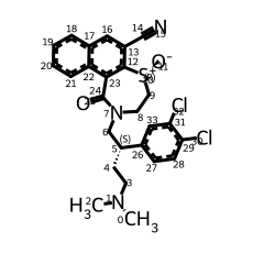 CN(C)CC[C@H](CN1CC[S@+]([O-])c2c(C#N)cc3ccccc3c2C1=O)c1ccc(Cl)c(Cl)c1